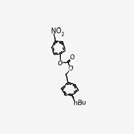 CCCCc1ccc(COC(=O)Oc2ccc([N+](=O)[O-])cc2)cc1